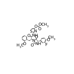 COC(=O)Oc1csc(NC(=O)[C@H](Cc2ccccc2OC)N2C(=O)N[C@H](c3ccc(OC)c(F)c3)C2=O)n1